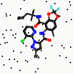 CSCC(C)(C)NC(=O)c1c(NC(=O)c2cc(C(F)(F)F)nn2-c2ncccc2Cl)c(C)cc2c1OC(F)(F)O2